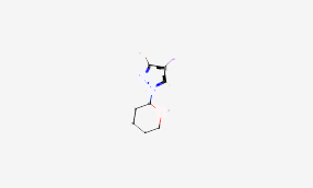 Brc1nn(C2CCCCO2)cc1I